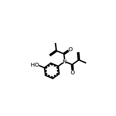 C=C(C)C(=O)N(C(=O)C(=C)C)c1cccc(O)c1